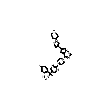 CC(N)(c1ccc(F)cc1)c1cnc(N2CCN(c3ncnn4cc(-c5cnn(C6CCOCC6)c5)cc34)CC2)nc1